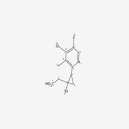 CCC1(CC(=O)O)CC1c1ncc(F)c(Cl)c1C